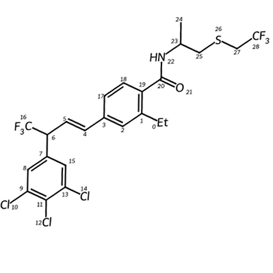 CCc1cc(/C=C/C(c2cc(Cl)c(Cl)c(Cl)c2)C(F)(F)F)ccc1C(=O)NC(C)CSCC(F)(F)F